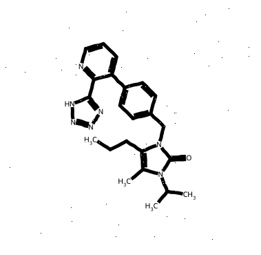 CCCc1c(C)n(C(C)C)c(=O)n1Cc1ccc(-c2cccnc2-c2nnn[nH]2)cc1